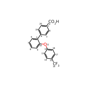 O=C(O)c1ccc(-c2ccccc2Oc2ccc(C(F)(F)F)cc2)cc1